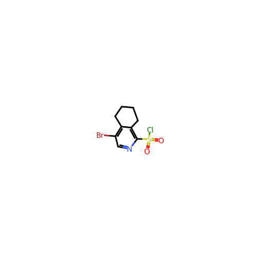 O=S(=O)(Cl)c1ncc(Br)c2c1CCCC2